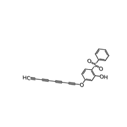 C#CC#CC#CC#COc1ccc(S(=O)(=O)c2ccccc2)c(O)c1